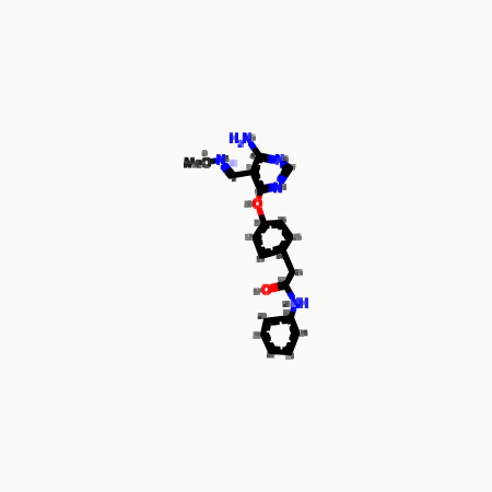 CO/N=C/c1c(N)ncnc1Oc1ccc(CC(=O)Nc2ccccc2)cc1